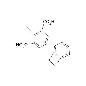 Cc1c(C(=O)O)cccc1C(=O)O.c1ccc2c(c1)CC2